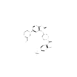 Nc1cc(OC(F)(F)F)ccc1C(=O)N1CCC(n2c(=O)[nH]c3ncc(N4CCOC(CO)C4)cc32)CC1